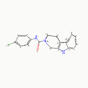 O=C(Nc1ccc(F)cc1)N1CCc2c([nH]c3ccccc23)C1